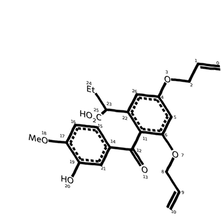 C=CCOc1cc(OCC=C)c(C(=O)c2ccc(OC)c(O)c2)c(C(CC)C(=O)O)c1